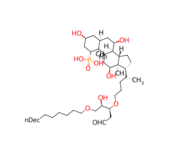 CCCCCCCCCCCCCCCCOC[C@@H](O)[C@H](CC=O)OCCC[C@@H](C)[C@H]1CC[C@H]2[C@@H]3[C@H](O)C[C@@H]4C[C@H](O)CC(P(=O)(O)O)[C@]4(C)[C@H]3C[C@H](O)[C@]12C